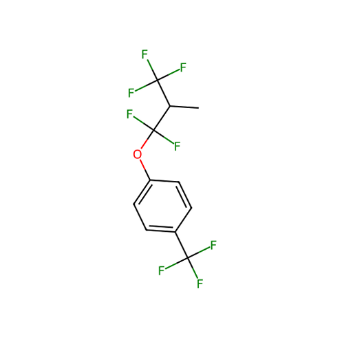 CC(C(F)(F)F)C(F)(F)Oc1ccc(C(F)(F)F)cc1